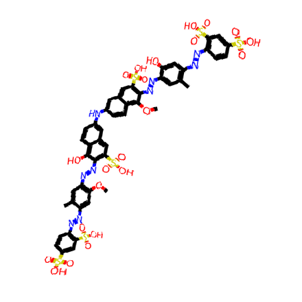 COc1cc(N=Nc2ccc(S(=O)(=O)O)cc2S(=O)(=O)O)c(C)cc1N=Nc1c(S(=O)(=O)O)cc2cc(Nc3ccc4c(OC)c(N=Nc5cc(C)c(N=Nc6ccc(S(=O)(=O)O)cc6S(=O)(=O)O)cc5O)c(S(=O)(=O)O)cc4c3)ccc2c1O